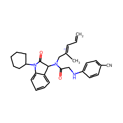 C=C/C=C(\C)CN(C(=O)CNc1ccc(C#N)cc1)C1C(=O)N(C2CCCCC2)c2ccccc21